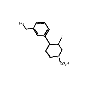 O=C(O)N1CCC(c2cccc(CO)c2)C(F)C1